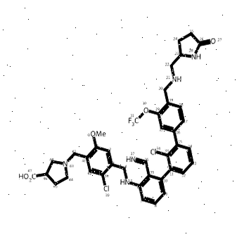 COc1cc(CNc2cccc(-c3cccc(-c4ccc(CNCC5CCC(=O)N5)c(OC(F)(F)F)c4)c3Cl)c2C=N)c(Cl)cc1CN1CCC(C(=O)O)C1